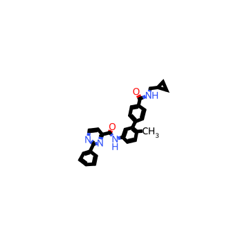 Cc1ccc(NC(=O)c2ccnc(-c3ccccc3)n2)cc1-c1ccc(C(=O)NCC2CC2)cc1